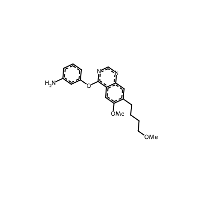 COCCCCc1cc2ncnc(Oc3cccc(N)c3)c2cc1OC